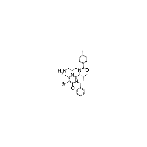 Cc1ccc(C(=O)N(CCCN)[C@@H](c2nc(C)c(Br)c(=O)n2Cc2ccccc2)C(C)C)cc1